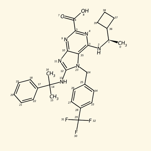 C[C@@H](Nc1nc(C(=O)O)nc2nc(NC(C)(C)c3ccccc3)n(Cc3ccc(C(F)(F)F)cc3)c12)C1CCC1